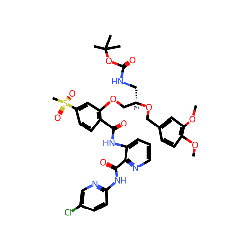 COc1ccc(CO[C@@H](CNC(=O)OC(C)(C)C)COc2cc(S(C)(=O)=O)ccc2C(=O)Nc2cccnc2C(=O)Nc2ccc(Cl)cn2)cc1OC